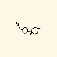 CC1CCC(C)(N2CCC(OC#N)CC2)CC1